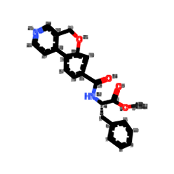 CC(C)(C)OC(=O)[C@H](Cc1ccccc1)NC(=O)c1ccc2c(c1)OCc1cnccc1-2